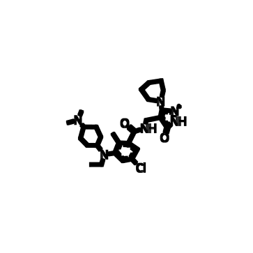 CCN(c1cc(Cl)cc(C(=O)NCc2c(N3CCCCC3)n(C)[nH]c2=O)c1C)C1CCC(N(C)C)CC1